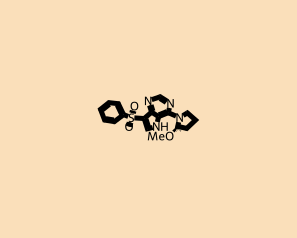 CO[C@@H]1CCCN1c1ncnc2c(S(=O)(=O)c3ccccc3)c[nH]c12